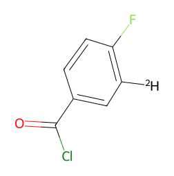 [2H]c1cc(C(=O)Cl)ccc1F